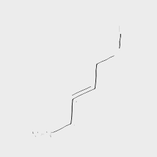 CCOC/C=C/C[N]C